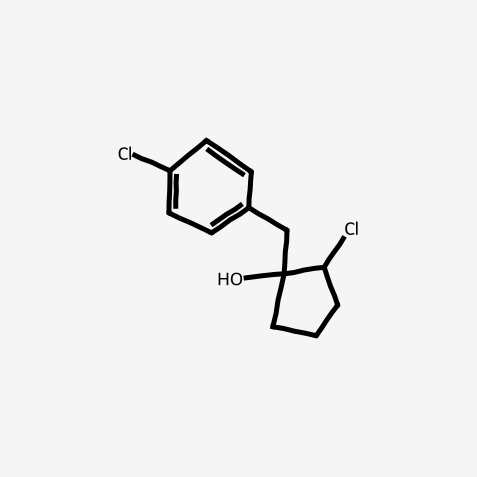 OC1(Cc2ccc(Cl)cc2)CCCC1Cl